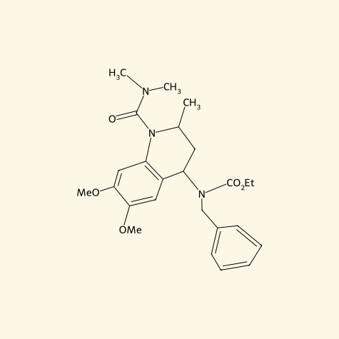 CCOC(=O)N(Cc1ccccc1)C1CC(C)N(C(=O)N(C)C)c2cc(OC)c(OC)cc21